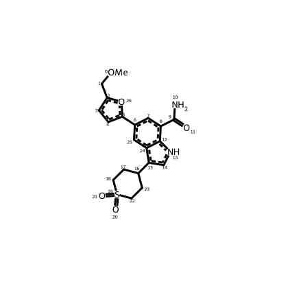 COCc1ccc(-c2cc(C(N)=O)c3[nH]cc(C4CCS(=O)(=O)CC4)c3c2)o1